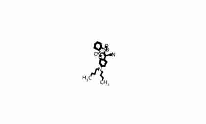 CCCCN(CCCC)c1ccc(C(C#N)=C2S(=O)(=O)c3ccccc3S2(=O)=O)cc1